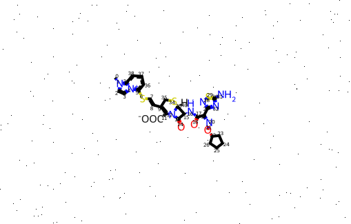 Cn1cc[n+]2c(S/C=C/C3=C(C(=O)[O-])N4C(=O)[C@@H](NC(=O)/C(=N\OC5CCCC5)c5nsc(N)n5)[C@@H]4SC3)cccc12